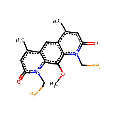 COc1c2c(cc3c(C)cc(=O)n(CP)c13)c(C)cc(=O)n2CP